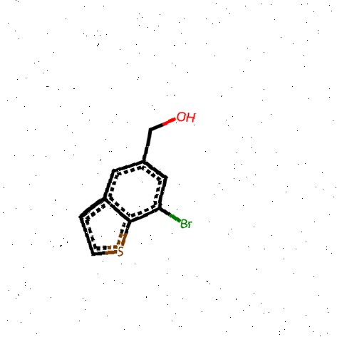 OCc1cc(Br)c2sccc2c1